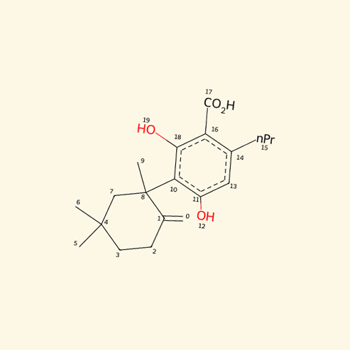 C=C1CCC(C)(C)CC1(C)c1c(O)cc(CCC)c(C(=O)O)c1O